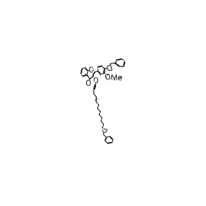 COc1cc(-c2oc3ccccc3c(=O)c2OC#CCCCCCCCCCCCOCc2ccccc2)ccc1OCc1ccccc1